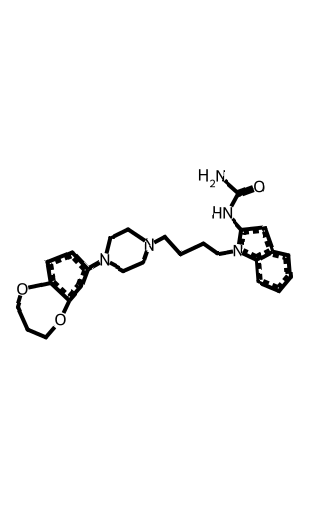 NC(=O)Nc1cc2ccccc2n1CCCCN1CCN(c2ccc3c(c2)OCCCO3)CC1